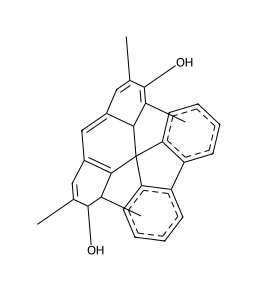 CC1=CC2=CC3=C(C(C)C(O)C(C)=C3)C3(c4ccccc4-c4ccccc43)C2C(C)=C1O